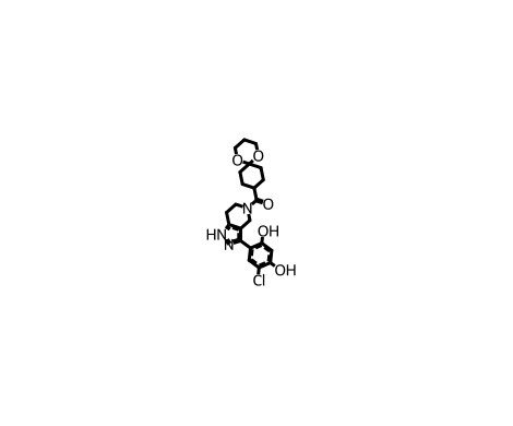 O=C(C1CCC2(CC1)OCCCO2)N1CCc2[nH]nc(-c3cc(Cl)c(O)cc3O)c2C1